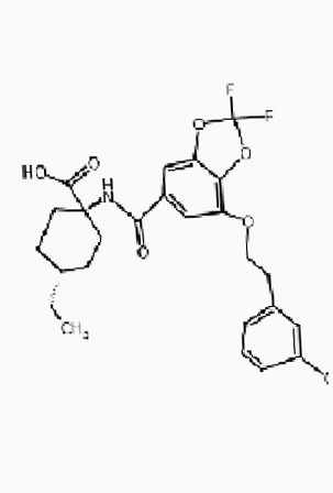 CC[C@H]1CC[C@@](NC(=O)c2cc(OCCc3cccc(C)c3)c3c(c2)OC(F)(F)O3)(C(=O)O)CC1